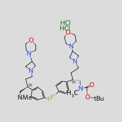 CN(C[C@@H](CCN1CC(N2CCOCC2)C1)c1ccc(F)cc1)C(=O)OC(C)(C)C.CNC[C@@H](CCN1CC(N2CCOCC2)C1)c1ccc(F)cc1.Cl.Cl